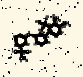 CS(=O)(=O)c1cccc(Oc2cccc(-c3ccc(N)c(N)c3C(F)(F)F)c2)c1